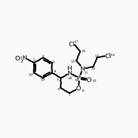 O=[N+]([O-])c1ccc(C2CCOP(=O)(N(CCCl)CCCl)N2)cc1